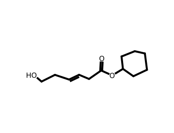 O=C(CC=CCCO)OC1CCCCC1